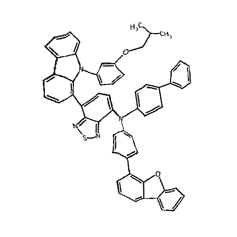 CC(C)COc1cccc(-n2c3ccccc3c3cccc(-c4ccc(N(c5ccc(-c6ccccc6)cc5)c5ccc(-c6cccc7c6oc6ccccc67)cc5)c5nsnc45)c32)c1